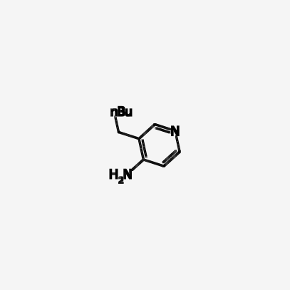 CCCCCc1cnccc1N